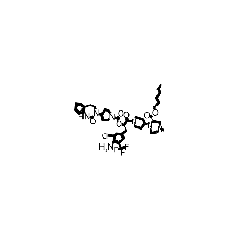 CCCCCCOC(=O)[C@@H]1CN(C)CCN1C1CCN(C(=O)[C@@H](Cc2cc(Cl)c(N)c(C(F)(F)F)c2)OC(=O)N2CCC(N3CCc4ccccc4NC3=O)CC2)CC1